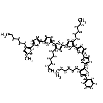 CCCCCCc1cc(C)sc1-c1ccc(-c2ccc(-c3sc(-c4cc(CCCCCC)c(-c5ccc(-c6ccc(-c7sc(-c8ccccc8)cc7CCCCCC)s6)s5)s4)cc3CCCCCC)s2)s1